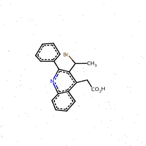 CC(Br)c1c(-c2ccccc2)nc2ccccc2c1CC(=O)O